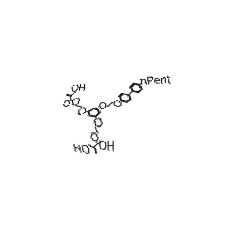 C=C(CO)C(=O)OCCOc1cc(OCCOc2ccc(-c3ccc(CCCCC)cc3)cc2)cc(OCCOC(O)C(=C)CO)c1